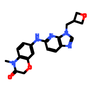 CN1C(=O)COc2cc(Nc3ccc4ncn(CC5COC5)c4n3)ccc21